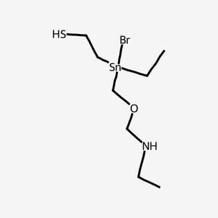 CCNCO[CH2][Sn]([Br])([CH2]C)[CH2]CS